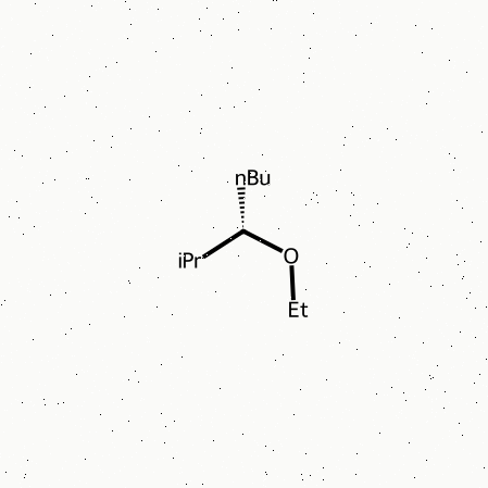 CCCC[C@H](OCC)C(C)C